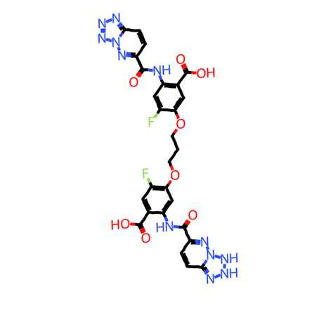 O=C(Nc1cc(OCCCOc2cc(C(=O)O)c(NC(=O)c3ccc4nnnn4n3)cc2F)c(F)cc1C(=O)O)C1=NN2NNN=C2C=C1